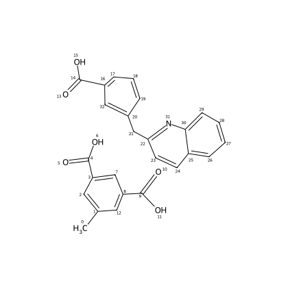 Cc1cc(C(=O)O)cc(C(=O)O)c1.O=C(O)c1cccc(Cc2ccc3ccccc3n2)c1